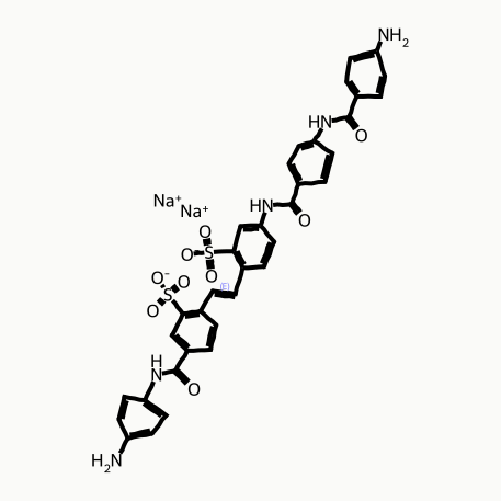 Nc1ccc(NC(=O)c2ccc(/C=C/c3ccc(NC(=O)c4ccc(NC(=O)c5ccc(N)cc5)cc4)cc3S(=O)(=O)[O-])c(S(=O)(=O)[O-])c2)cc1.[Na+].[Na+]